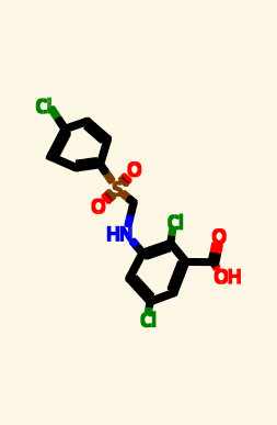 O=C(O)c1cc(Cl)cc(NCS(=O)(=O)c2ccc(Cl)cc2)c1Cl